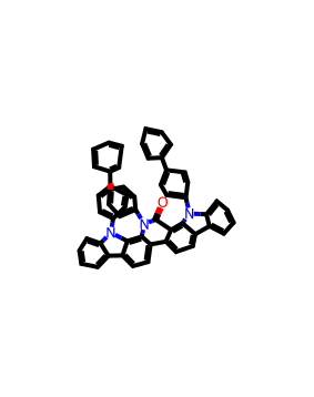 O=c1c2c(ccc3c4ccccc4n(-c4ccc(-c5ccccc5)cc4)c32)c2ccc3c4ccccc4n(-c4ccc(-c5ccccc5)cc4)c3c2n1-c1ccccc1